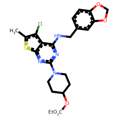 CCOC(=O)OC1CCN(c2nc(NCc3ccc4c(c3)OCO4)c3c(Cl)c(C)sc3n2)CC1